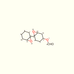 O=COC1CCC2(C34CCCCC3O4)OC2C1